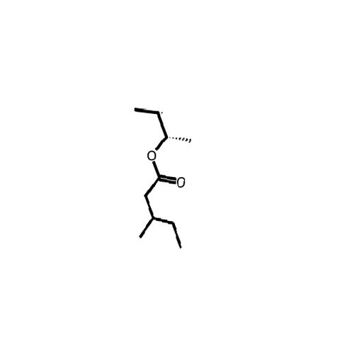 C[CH][C@H](C)OC(=O)CC(C)CC